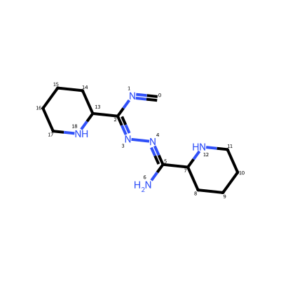 C=N/C(=N\N=C(/N)C1CCCCN1)C1CCCCN1